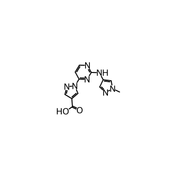 Cn1cc(Nc2nccc(-n3cc(C(=O)O)cn3)n2)cn1